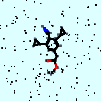 COC(=O)Cc1cc(C2CC2)c(C#N)c(C2CC2)c1